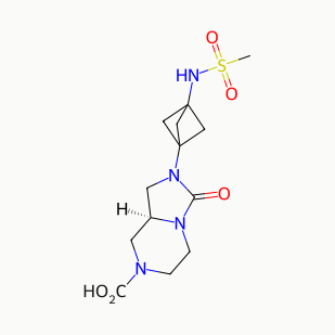 CS(=O)(=O)NC12CC(N3C[C@@H]4CN(C(=O)O)CCN4C3=O)(C1)C2